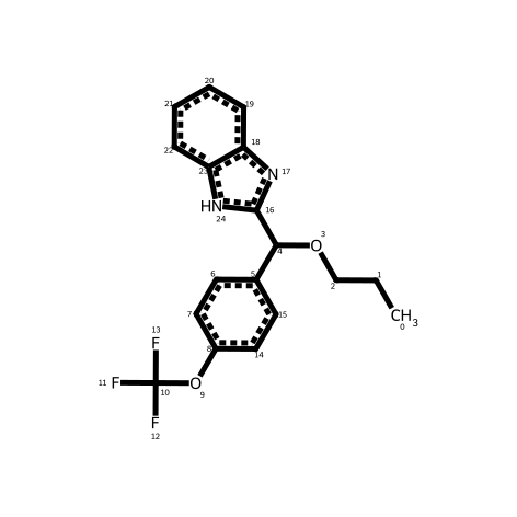 CCCOC(c1ccc(OC(F)(F)F)cc1)c1nc2ccccc2[nH]1